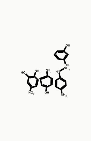 Nc1ccc(N[N+](=O)[O-])cc1.Nc1ccc(O)cc1.Nc1ccc([N+](=O)[O-])cc1O.Oc1cccc(O)c1